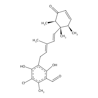 CC(/C=C/[C@@]1(C)[C@H](C)C=CC(=O)[C@@H]1C)=C\Cc1c(O)c(Cl)c(C)c(C=O)c1O